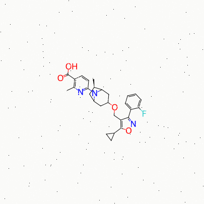 Cc1nc(N2C3CC(OCc4c(-c5ccccc5F)noc4C4CC4)CC2[C@H](C)C3)ccc1C(=O)O